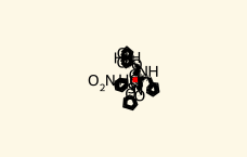 O=C(N[C@@H](Cc1ccccc1)[C@H](O)CN(OC1CCCCC1)S(=O)(=O)c1ccc([N+](=O)[O-])cc1)O[C@H]1CO[C@H]2OCC[C@H]21